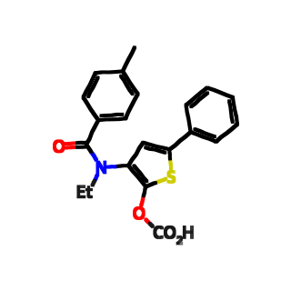 CCN(C(=O)c1ccc(C)cc1)c1cc(-c2ccccc2)sc1OC(=O)O